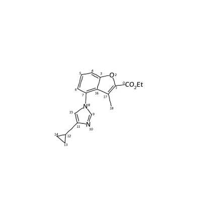 CCOC(=O)c1oc2cccc(-n3cnc(C4CC4)c3)c2c1C